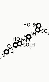 Cc1cc(N=Nc2cc(S(=O)(=O)O)c3cccc(S(=O)(=O)O)c3c2)cc(C)c1N=Nc1c(S(=O)(=O)O)cc2cc(NC(=O)c3ccc(N)cc3)ccc2c1O